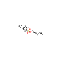 CCC#CCOS(=O)(=O)c1ccc(C)cc1